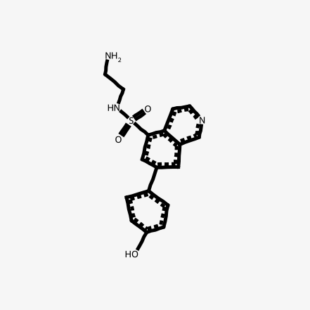 NCCNS(=O)(=O)c1cc(-c2ccc(O)cc2)cc2cnccc12